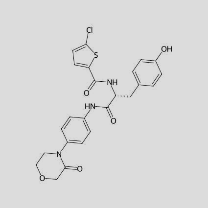 O=C(N[C@H](Cc1ccc(O)cc1)C(=O)Nc1ccc(N2CCOCC2=O)cc1)c1ccc(Cl)s1